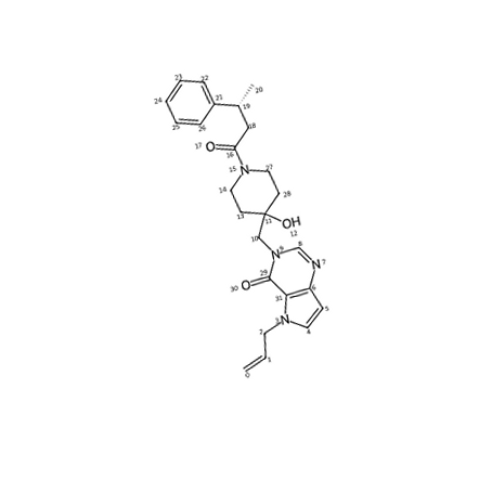 C=CCn1ccc2ncn(CC3(O)CCN(C(=O)C[C@@H](C)c4ccccc4)CC3)c(=O)c21